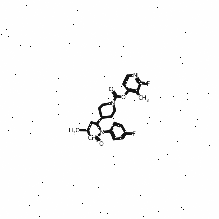 Cc1c(OC(=O)N2CCC(C(CC(C)C)N(C=O)c3ccc(F)cc3)CC2)ccnc1F